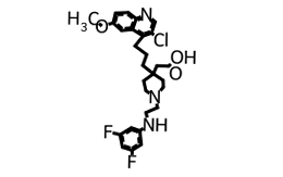 COc1ccc2ncc(Cl)c(CCCC3(CC(=O)O)CCN(CCNc4cc(F)cc(F)c4)CC3)c2c1